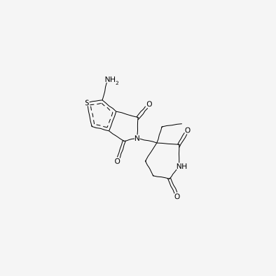 CCC1(N2C(=O)c3csc(N)c3C2=O)CCC(=O)NC1=O